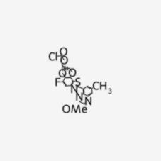 COc1cnc2c(-c3nc4cc(F)c5c(c4s3)OC[C@H](COC(=O)Cl)O5)cc(C)cc2n1